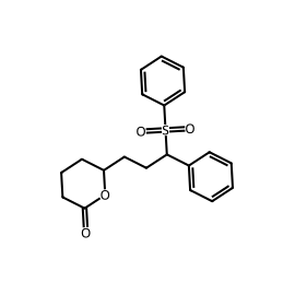 O=C1CCCC(CCC(c2ccccc2)S(=O)(=O)c2ccccc2)O1